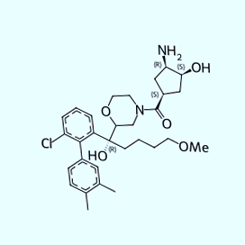 COCCCC[C@@](O)(c1cccc(Cl)c1-c1ccc(C)c(C)c1)C1CN(C(=O)[C@H]2C[C@@H](N)[C@@H](O)C2)CCO1